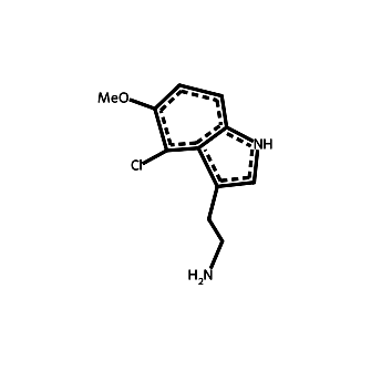 COc1ccc2[nH]cc(CCN)c2c1Cl